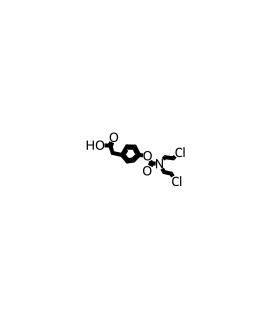 O=C(O)Cc1ccc(OC(=O)N(CCCl)CCCl)cc1